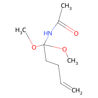 C=CCCC(NC(C)=O)(OC)OC